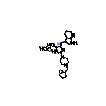 Cl.Cl.O=C1NC(N2CCN(CC3CCCO3)CC2)=N/C1=C\c1c[nH]c2ncccc12